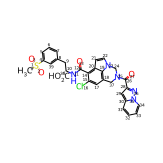 CS(=O)(=O)c1cccc(C[C@H](NC(=O)c2c(Cl)cc3c4c2ccn4CN(C(=O)c2cc4ccccn4n2)C3)C(=O)O)c1